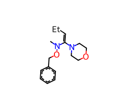 CC/C=C(/N1CCOCC1)N(C)OCc1ccccc1